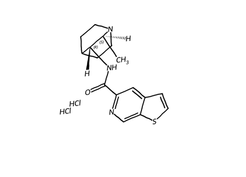 C[C@H]1[C@H](NC(=O)c2cc3ccsc3cn2)C2CCN1CC2.Cl.Cl